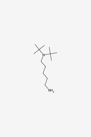 CC(C)(C)N(CCCCCN)C(C)(C)C